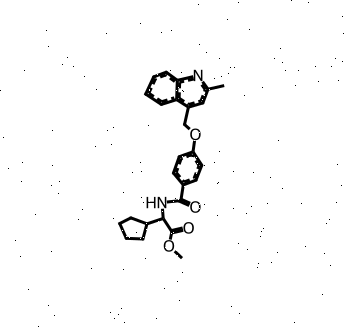 COC(=O)C(NC(=O)c1ccc(OCc2cc(C)nc3ccccc23)cc1)C1CCCC1